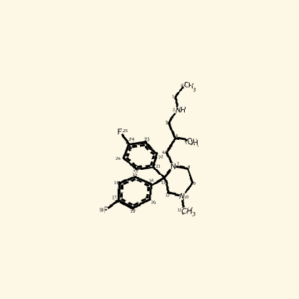 CCNCC(O)CN1CCN(C)CC1(c1ccc(F)cc1)c1ccc(F)cc1